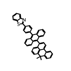 CC1(C)c2ccccc2-c2ccc(-c3c4ccccc4c(-c4ccc(-c5nc6ccccc6s5)cc4)c4ccccc34)c3cccc1c23